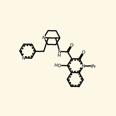 CC(C)n1c(=O)c(C(=O)NC2C3CCN(CC3)C2Cc2cccnc2)c(O)c2ccccc21